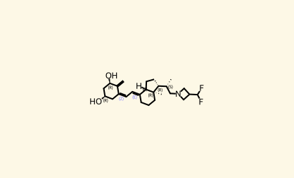 C=C1/C(=C\C=C2/CCC[C@]3(C)[C@@H]([C@H](C)CN4CC(C(F)F)C4)CC[C@@H]23)C[C@@H](O)C[C@H]1O